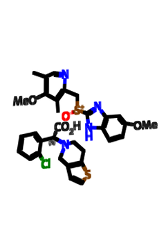 COc1ccc2[nH]c([S+]([O-])Cc3ncc(C)c(OC)c3C)nc2c1.O=C(O)[C@H](c1ccccc1Cl)N1CCc2sccc2C1